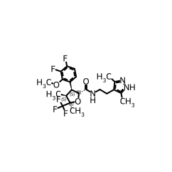 COc1c([C@H]2[C@H](C(=O)NCCc3c(C)n[nH]c3C)O[C@@](C)(C(F)(F)F)[C@H]2C)ccc(F)c1F